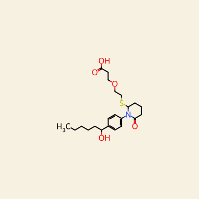 CCCCCC(O)c1ccc(N2C(=O)CCCC2SCCOCCC(=O)O)cc1